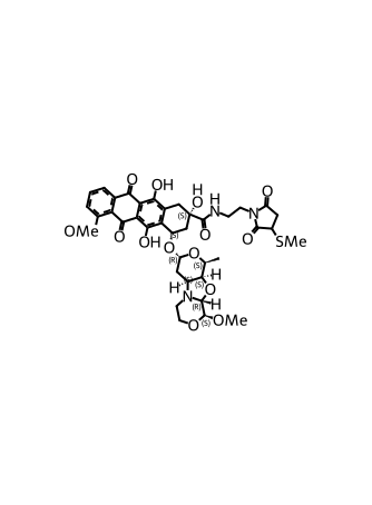 COc1cccc2c1C(=O)c1c(O)c3c(c(O)c1C2=O)C[C@@](O)(C(=O)NCCN1C(=O)CC(SC)C1=O)C[C@@H]3O[C@H]1C[C@H]2[C@H](O[C@@H]3[C@@H](OC)OCCN32)[C@H](C)O1